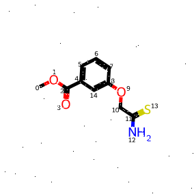 COC(=O)c1cccc(OCC(N)=S)c1